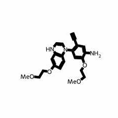 C#Cc1cc(N)c(OCCOC)cc1N1C=CNc2cc(OCCOC)ccc21